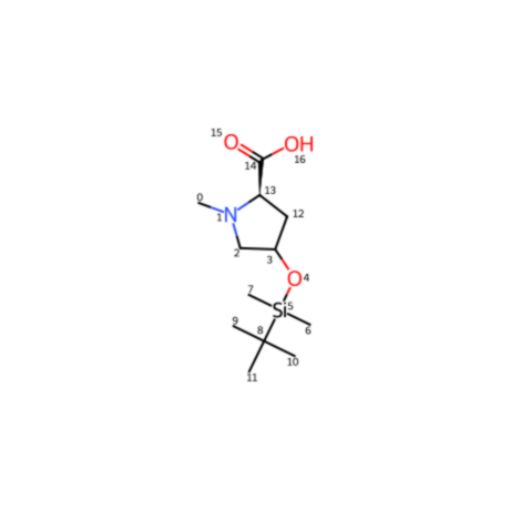 CN1CC(O[Si](C)(C)C(C)(C)C)C[C@@H]1C(=O)O